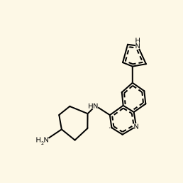 NC1CCC(Nc2[c]cnc3ccc(-c4cc[nH]c4)cc23)CC1